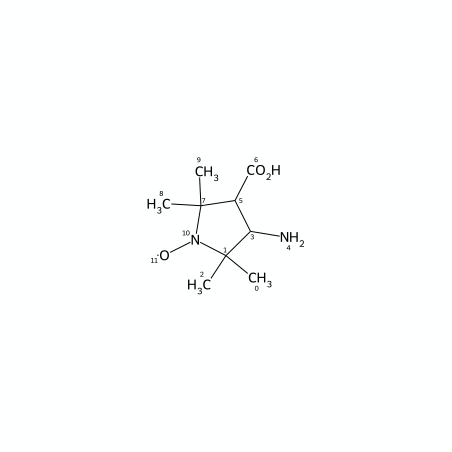 CC1(C)C(N)C(C(=O)O)C(C)(C)N1[O]